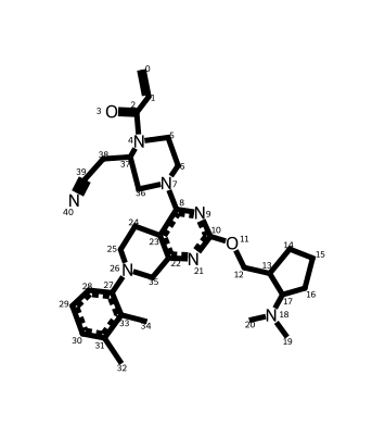 C=CC(=O)N1CCN(c2nc(OCC3CCCC3N(C)C)nc3c2CCN(c2cccc(C)c2C)C3)CC1CC#N